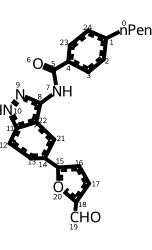 CCCCCc1ccc(C(=O)Nc2n[nH]c3ccc(-c4ccc(C=O)o4)cc23)cc1